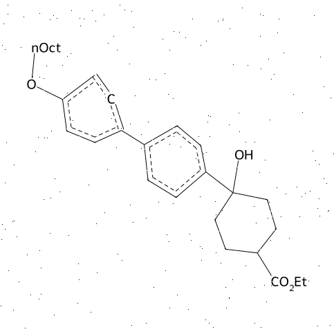 CCCCCCCCOc1ccc(-c2ccc(C3(O)CCC(C(=O)OCC)CC3)cc2)cc1